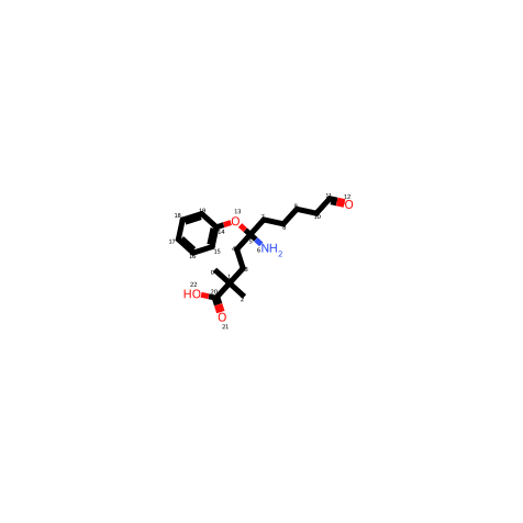 CC(C)(CCC(N)(CCCCC=O)Oc1ccccc1)C(=O)O